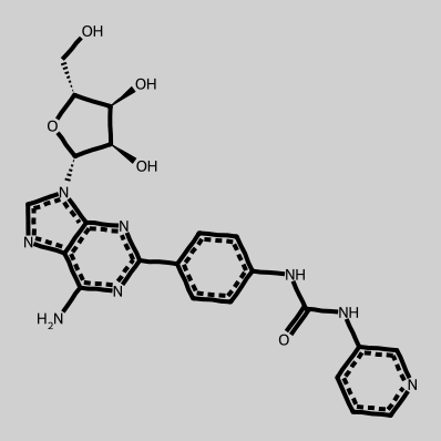 Nc1nc(-c2ccc(NC(=O)Nc3cccnc3)cc2)nc2c1ncn2[C@@H]1O[C@H](CO)[C@@H](O)[C@H]1O